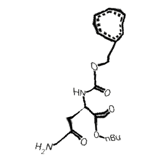 CCCCOC(=O)[C@@H](CC(N)=O)NC(=O)OCc1ccccc1